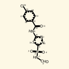 O=CNS(=O)(=O)c1nnc(NC(=O)c2ccc(Cl)cc2)s1